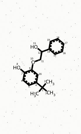 CC(C)(C)c1ccc(O)c(OCC(O)c2ccccc2)c1